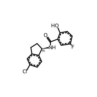 O=C(N[C@@H]1CCc2cc(Cl)ccc21)c1cc(F)ccc1O